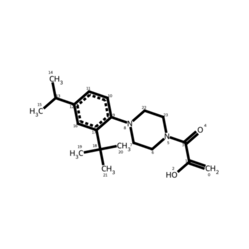 C=C(O)C(=O)N1CCN(c2ccc(C(C)C)cc2C(C)(C)C)CC1